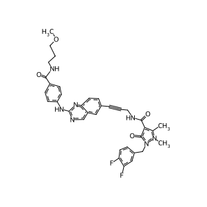 COCCCNC(=O)c1ccc(Nc2ncc3cc(C#CCNC(=O)c4c(C)n(C)n(Cc5ccc(F)c(F)c5)c4=O)ccc3n2)cc1